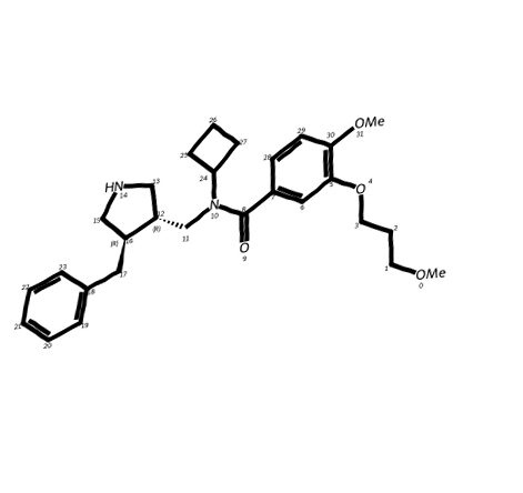 COCCCOc1cc(C(=O)N(C[C@H]2CNC[C@@H]2Cc2ccccc2)C2CCC2)ccc1OC